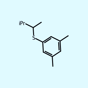 Cc1cc(C)cc(SC(C)C(C)C)c1